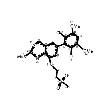 CCS(=O)(=O)CCNc1nc(-c2c(Cl)c(OC)cc(OC)c2Cl)cc2cnc(SC)nc12